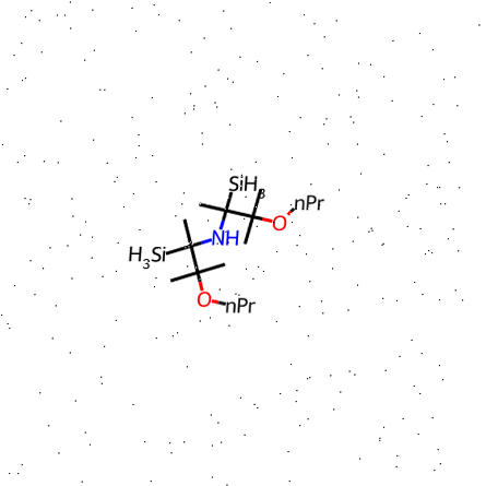 CCCOC(C)(C)C(C)([SiH3])NC(C)([SiH3])C(C)(C)OCCC